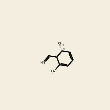 C[C@@H]1C=CC=C(N)C1C=N